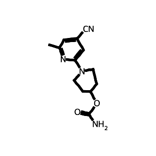 Cc1cc(C#N)cc(N2CCC(OC(N)=O)CC2)n1